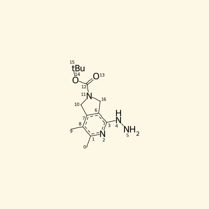 Cc1nc(NN)c2c(c1C)CN(C(=O)OC(C)(C)C)C2